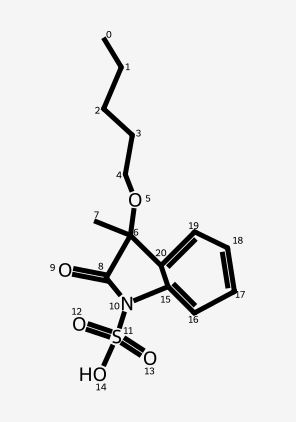 CCCCCOC1(C)C(=O)N(S(=O)(=O)O)c2ccccc21